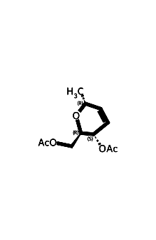 CC(=O)OC[C@H]1O[C@H](C)C=C[C@@H]1OC(C)=O